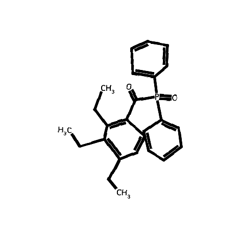 CCc1ccc(C(=O)P(=O)(c2ccccc2)c2ccccc2)c(CC)c1CC